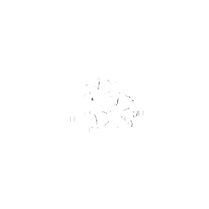 COc1ccc(Cn2c(=O)[nH]c3ncc(-c4cccc(C(F)(F)F)c4)cc32)cc1F